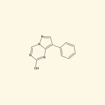 Oc1ncn2ncc(-c3ccccc3)c2n1